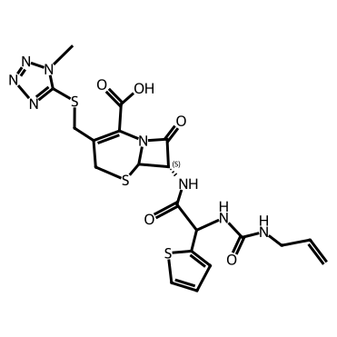 C=CCNC(=O)NC(C(=O)N[C@H]1C(=O)N2C(C(=O)O)=C(CSc3nnnn3C)CSC12)c1cccs1